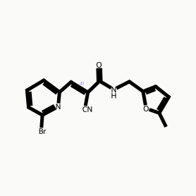 Cc1ccc(CNC(=O)/C(C#N)=C/c2cccc(Br)n2)o1